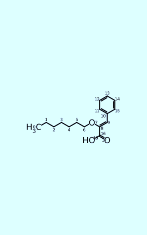 CCCCCCCOC(=Cc1ccccc1)C(=O)O